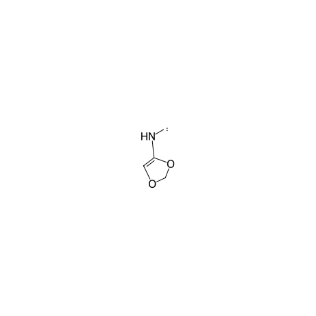 [CH]NC1=COCO1